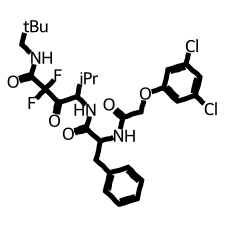 CC(C)C(NC(=O)C(Cc1ccccc1)NC(=O)COc1cc(Cl)cc(Cl)c1)C(=O)C(F)(F)C(=O)NCC(C)(C)C